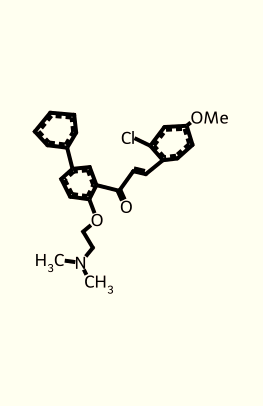 COc1ccc(C=CC(=O)c2cc(-c3ccccc3)ccc2OCCN(C)C)c(Cl)c1